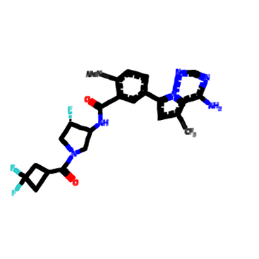 CNc1ccc(-c2cc(C(F)(F)F)c3c(N)ncnn23)cc1C(=O)NC1CN(C(=O)C2CC(F)(F)C2)C[C@@H]1F